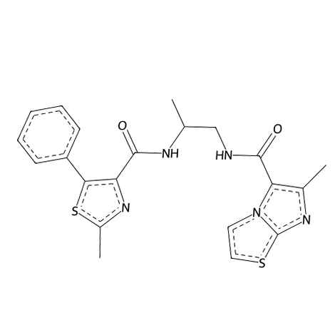 Cc1nc(C(=O)NC(C)CNC(=O)c2c(C)nc3sccn23)c(-c2ccccc2)s1